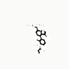 C=CC(=O)Nc1cccc(-c2ccc(C(N)=O)c3[nH]cc(C)c23)c1C